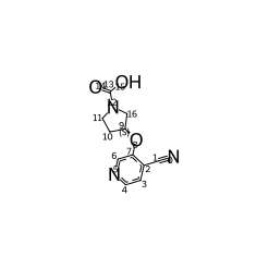 N#Cc1ccncc1O[C@H]1CCN(C(=O)O)C1